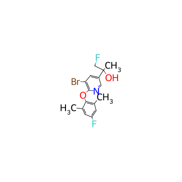 Cc1cc(F)cc(C)c1Oc1ncc(C(C)(O)CF)cc1Br